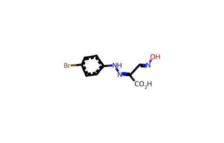 O=C(O)C(/C=N/O)=N/Nc1ccc(Br)cc1